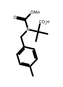 COC(=O)N(Cc1ccc(C)cc1)C(C)(C)C(=O)O